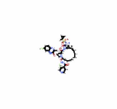 Cc1nc2ccc(F)cc2nc1O[C@@H]1C[C@H]2C(=O)N[C@]3(C(=O)NS(=O)(=O)C4(C)CC4)C[C@H]3C=CCCCCC[C@H](NC(=O)c3ccncc3F)C(=O)N2C1